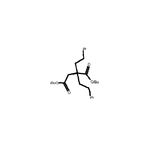 CC(C)CCC(CCC(C)C)(CC(=O)OCC(C)C)C(=O)OCC(C)C